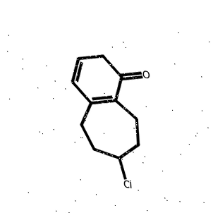 O=C1CC=CC2=C1CCC(Cl)CC2